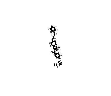 COCOc1ccc(C(=O)NC[C@]2(O)CC[C@@H](CCOCc3ccccc3)CC2)cc1